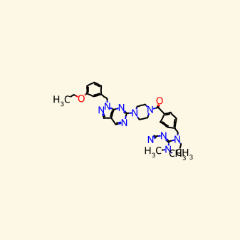 CCOc1cccc(Cn2ncc3cnc(N4CCN(C(=O)c5ccc(CN(CC)C(=NC#N)N(C)C)cc5)CC4)nc32)c1